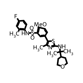 COc1ccc(-c2sc(NC(C)(C)C3CCOCC3)nc2C)cc1S(=O)(=O)Nc1ccc(F)cc1C